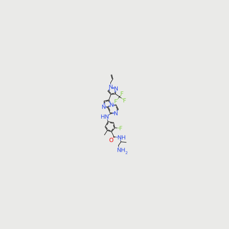 C=CCn1cc(-c2cnc3c(Nc4cc(C)c(C(=O)NC(C)CN)c(F)c4)nccn23)c(C(F)(F)F)n1